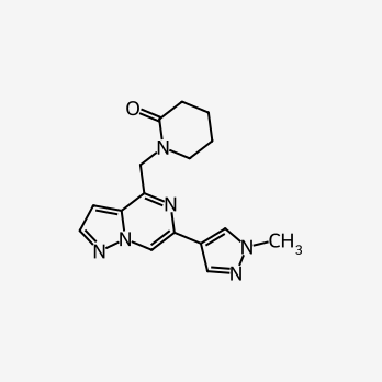 Cn1cc(-c2cn3nccc3c(CN3CCCCC3=O)n2)cn1